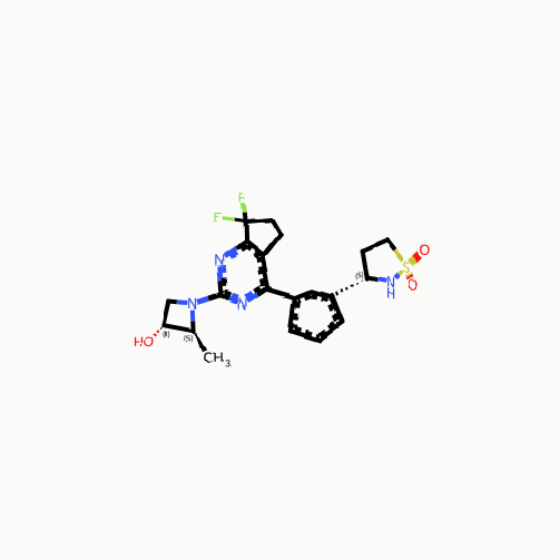 C[C@H]1[C@H](O)CN1c1nc(-c2cccc([C@@H]3CCS(=O)(=O)N3)c2)c2c(n1)C(F)(F)CC2